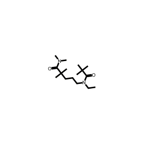 CCN(CCCC(C)(C)C(=O)N(C)C)C(=O)C(C)(C)C